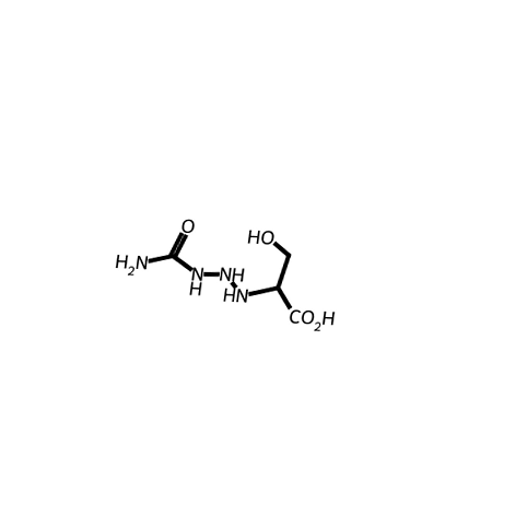 NC(=O)NNNC(CO)C(=O)O